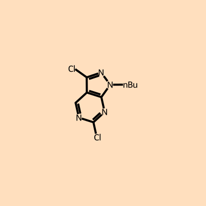 CCCCn1nc(Cl)c2cnc(Cl)nc21